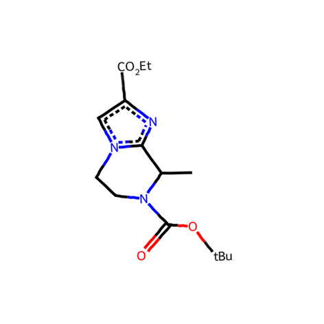 CCOC(=O)c1cn2c(n1)C(C)N(C(=O)OC(C)(C)C)CC2